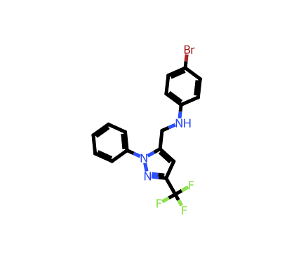 FC(F)(F)c1cc(CNc2ccc(Br)cc2)n(-c2ccccc2)n1